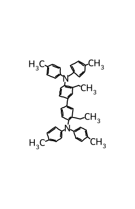 CCc1cc(-c2ccc(N(c3ccc(C)cc3)c3ccc(C)cc3)c(CC)c2)ccc1N(c1ccc(C)cc1)c1ccc(C)cc1